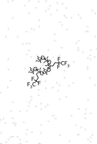 C[Si](C)(C)O[Si](C)(C)O[Si](C)(CCC(F)(F)C(F)(F)F)O[Si](C)(C)O[Si](C)(CCC(F)(F)C(F)(F)F)O[Si](C)(C)C